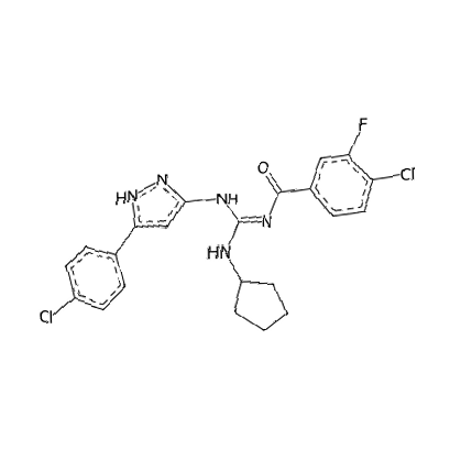 O=C(/N=C(\Nc1cc(-c2ccc(Cl)cc2)[nH]n1)NC1CCCC1)c1ccc(Cl)c(F)c1